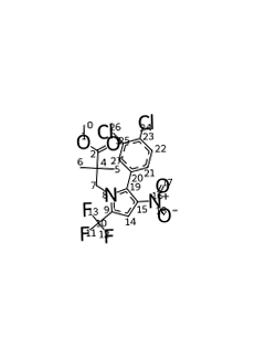 COC(=O)C(C)(C)Cn1c(C(F)(F)F)cc([N+](=O)[O-])c1-c1ccc(Cl)c(Cl)c1